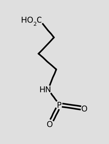 O=C(O)CCCNP(=O)=O